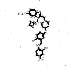 N#Cc1ccc(OCc2cc(OC3CCN(Cc4nc5ccc(C(=O)O)cc5n4C[C@@H]4CCO4)CC3)ccc2F)c(F)c1